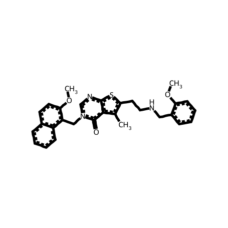 COc1ccccc1CNCCc1sc2ncn(Cc3c(OC)ccc4ccccc34)c(=O)c2c1C